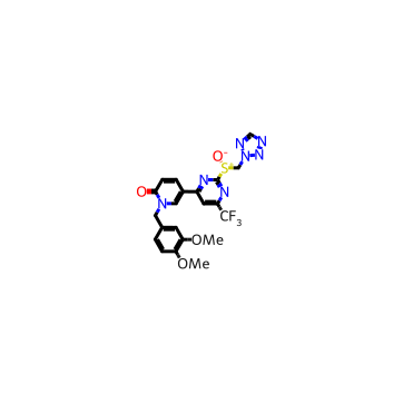 COc1ccc(Cn2cc(-c3cc(C(F)(F)F)nc([S+]([O-])Cn4ncnn4)n3)ccc2=O)cc1OC